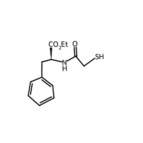 CCOC(=O)[C@H](Cc1ccccc1)NC(=O)CS